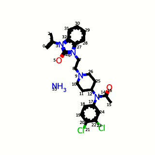 C=C(C)n1c(=O)n(CCN2CCC(N(C(C)=O)c3ccc(Cl)c(Cl)c3)CC2)c2ccccc21.N